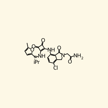 Cc1ccc([C@H](Nc2c(Nc3ccc(Cl)c4c3C(=O)N(CC(N)=O)C4)c(=O)c2=O)C(C)C)o1